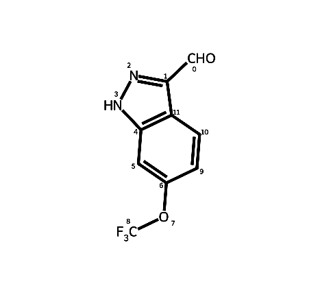 O=Cc1n[nH]c2cc(OC(F)(F)F)ccc12